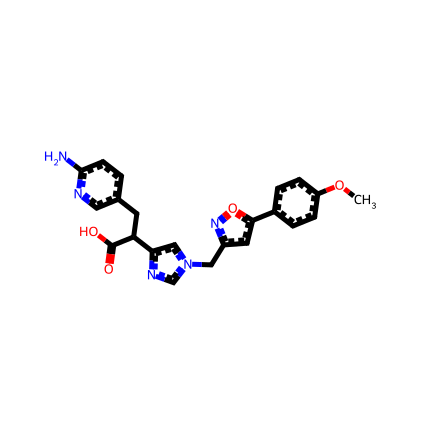 COc1ccc(-c2cc(Cn3cnc(C(Cc4ccc(N)nc4)C(=O)O)c3)no2)cc1